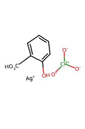 O=C(O)c1ccccc1O.[Ag+].[O-][Cl+2]([O-])[O-]